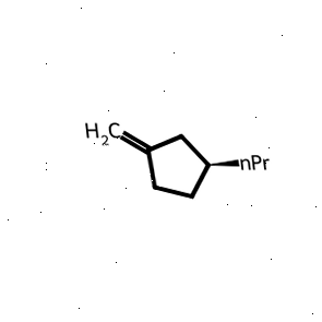 C=C1CC[C@H](CCC)C1